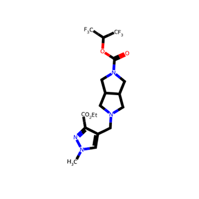 CCOC(=O)c1nn(C)cc1CN1CC2CN(C(=O)OC(C(F)(F)F)C(F)(F)F)CC2C1